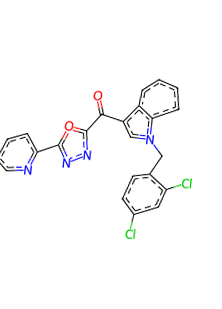 O=C(c1nnc(-c2ccccn2)o1)c1cn(Cc2ccc(Cl)cc2Cl)c2ccccc12